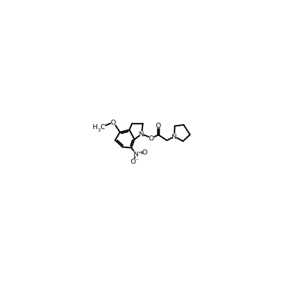 COc1ccc([N+](=O)[O-])c2c1CCN2OC(=O)CN1CCCC1